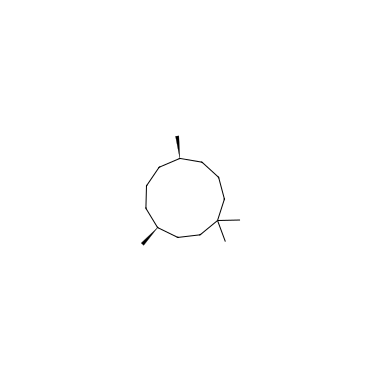 C[C@@H]1CCC[C@H](C)CCC(C)(C)CCC1